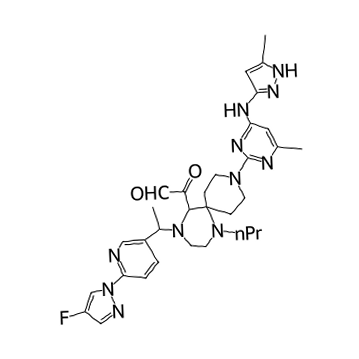 CCCN1CCN(C(C)c2ccc(-n3cc(F)cn3)nc2)C(C(=O)C=O)C12CCN(c1nc(C)cc(Nc3cc(C)[nH]n3)n1)CC2